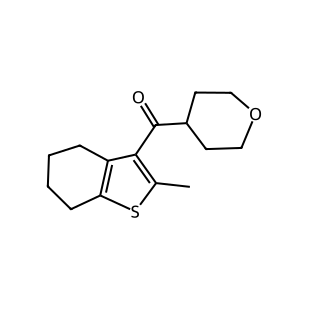 Cc1sc2c(c1C(=O)C1CCOCC1)CCCC2